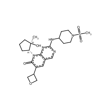 C[C@@]1(O)CCC[C@H]1n1c(=O)c(C2COC2)cc2cnc(NC3CCN(S(C)(=O)=O)CC3)nc21